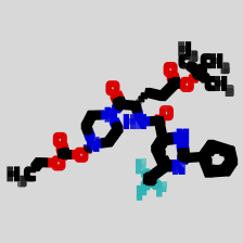 CCOC(=O)ON1CCN(C(=O)[C@H](CCC(=O)OC(C)(C)C)NC(=O)c2cc(C(F)(F)F)nc(-c3ccccc3)n2)CC1